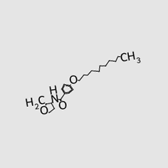 C=C1OCCC1NC(=O)c1ccc(OCCCCCCCCCCC)cc1